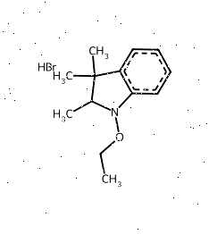 Br.CCON1c2ccccc2C(C)(C)C1C